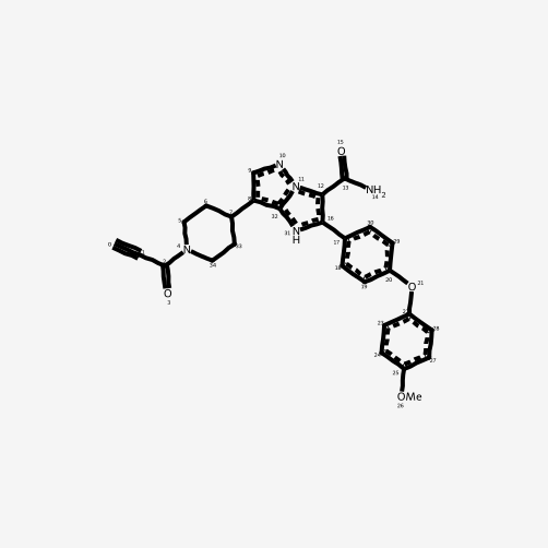 C#CC(=O)N1CCC(c2cnn3c(C(N)=O)c(-c4ccc(Oc5ccc(OC)cc5)cc4)[nH]c23)CC1